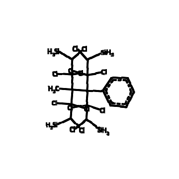 CC(C(Cl)(Cl)C([SiH3])Cl)(C(Cl)(Cl)C([SiH3])Cl)C(c1ccccc1)(C(Cl)(Cl)C([SiH3])Cl)C(Cl)(Cl)C([SiH3])Cl